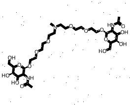 CC(=O)NC1C(O)[C@@H](O)C(CO)O[C@H]1OCCOCCOCCN(C)CCOCCOCCO[C@@H]1OC(CO)[C@H](O)C(O)C1NC(C)=O